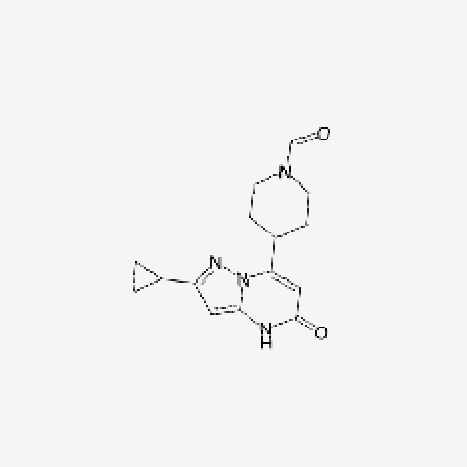 O=CN1CCC(c2cc(=O)[nH]c3cc(C4CC4)nn23)CC1